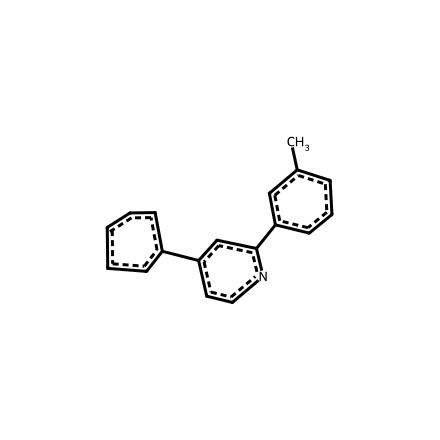 Cc1cccc(-c2cc(-c3ccccc3)ccn2)c1